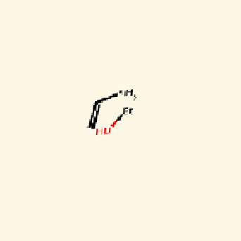 C=C[SiH3].CCO